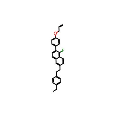 C=CCOc1ccc(-c2ccc3cc(CCc4ccc(CC)cc4)ccc3c2F)cc1